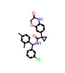 Cc1ccc(C(NC(=O)C2(c3ccc4c(c3)OCC(=O)N4)CC2)c2cccc(Cl)c2)c(C)c1